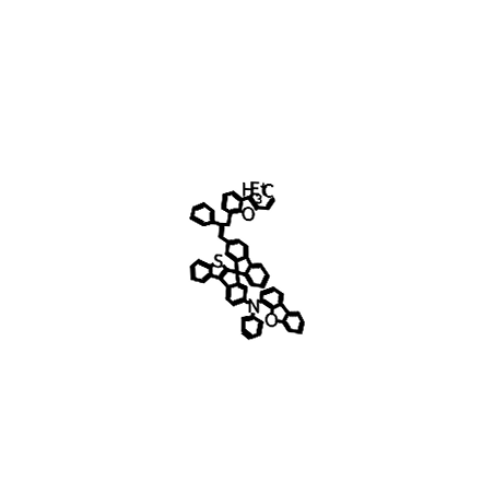 C/C=C\c1oc2c(C/C(=C\c3ccc4c(c3)C3(c5ccccc5-4)c4cc(N(c5cc#ccc5)c5cccc6c5oc5ccccc56)ccc4-c4c3sc3ccccc43)c3ccccc3)cccc2c1CC